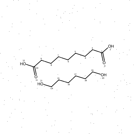 O=C(O)CCCCCCCC(=O)O.OCCCCCCO